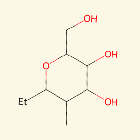 CCC1OC(CO)C(O)C(O)C1C